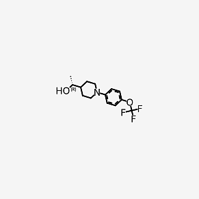 C[C@@H](O)C1CCN(c2ccc(OC(F)(F)F)cc2)CC1